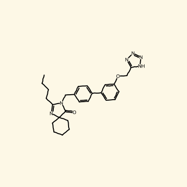 CCCCC1=NC2(CCCCC2)C(=O)N1Cc1ccc(-c2cccc(OCc3nnn[nH]3)c2)cc1